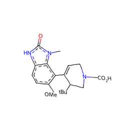 COc1ccc2[nH]c(=O)n(C)c2c1C1=CCN(C(=O)O)CC1C(C)(C)C